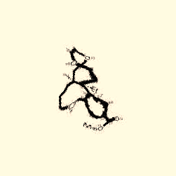 CC[C@@]12CCC3(C[C@@H]1CCOc1cc(C(=O)OC)ccc12)OCCO3